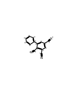 N#Cc1cc(C#N)c(C#N)c(-c2ccccc2)c1